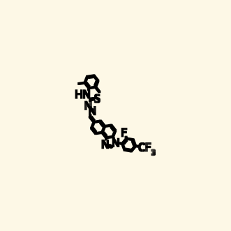 Cc1cccc(C)c1NC(=S)N=NC=c1ccc2c(c1)C=CC1C=2N=CN1c1ccc(C(F)(F)F)cc1F